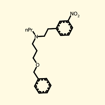 CCCN(CCCOCc1ccccc1)CCc1cccc([N+](=O)[O-])c1